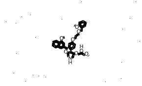 COC[C@@H](O)CO[C@@H]1CNCC(OCc2cc(OC)c3ccccc3c2)[C@H]1c1ccc(OCCCOCc2ccccc2OC)cc1